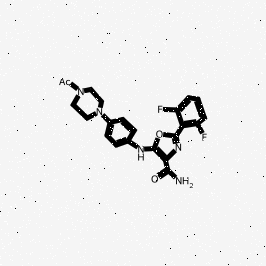 CC(=O)N1CCN(c2ccc(Nc3oc(-c4c(F)cccc4F)nc3C(N)=O)cc2)CC1